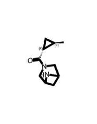 C[C@@H]1C[C@H]1C(=O)N1CC2CC(C1)N2